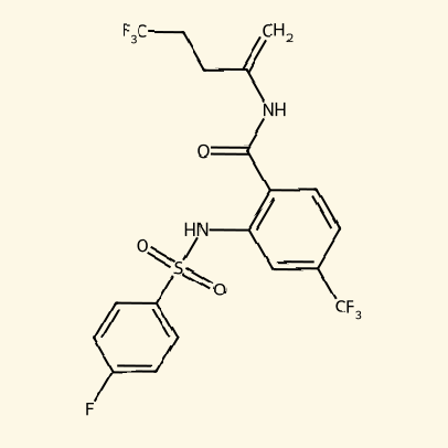 C=C(CCC(F)(F)F)NC(=O)c1ccc(C(F)(F)F)cc1NS(=O)(=O)c1ccc(F)cc1